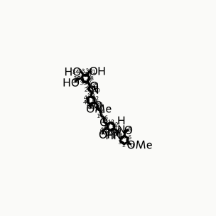 COc1ccc2c(c1)C(=O)NC(c1ccc(OCCCCOc3cc(-c4cc(-c5cc(CO)c(CO)c(CO)c5)on4)ccc3OC)c(CO)c1)N2